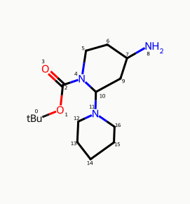 CC(C)(C)OC(=O)N1CCC(N)CC1N1CCCCC1